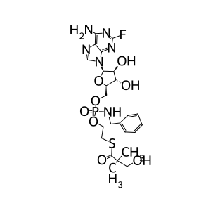 CC(C)(CO)C(=O)SCCOP(=O)(NCc1ccccc1)OC[C@H]1O[C@@H](n2cnc3c(N)nc(F)nc32)[C@@H](O)[C@@H]1O